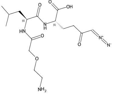 CC(C)C[C@H](NC(=O)COCCN)C(=O)N[C@@H](CCC(=O)C=[N+]=[N-])C(=O)O